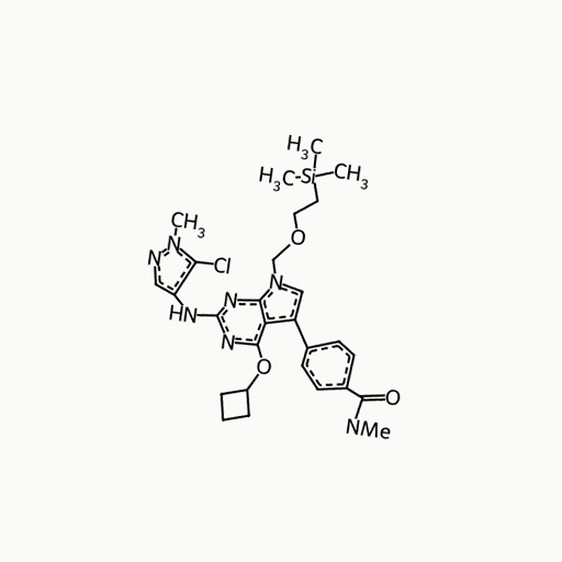 CNC(=O)c1ccc(-c2cn(COCC[Si](C)(C)C)c3nc(Nc4cnn(C)c4Cl)nc(OC4CCC4)c23)cc1